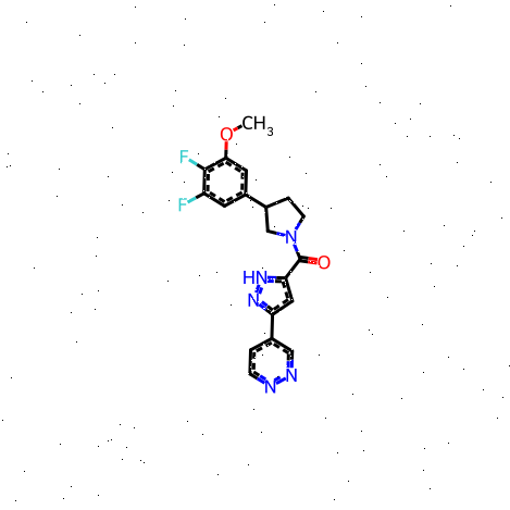 COc1cc(C2CCN(C(=O)c3cc(-c4ccnnc4)n[nH]3)C2)cc(F)c1F